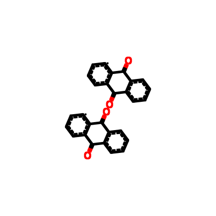 O=C1c2[c]cccc2C(=O)c2ccccc21.O=C1c2[c]cccc2C(=O)c2ccccc21